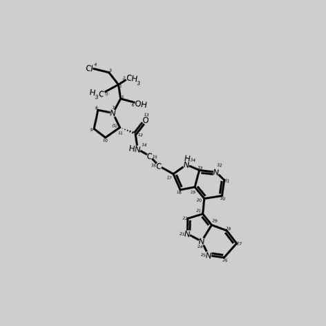 CC(C)(CCl)C(O)N1CCC[C@H]1C(=O)NCCc1cc2c(-c3cnn4ncccc34)ccnc2[nH]1